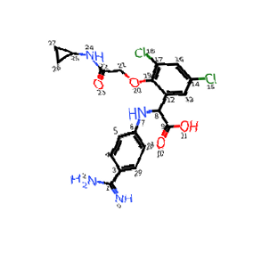 N=C(N)c1ccc(NC(C(=O)O)c2cc(Cl)cc(Cl)c2OCC(=O)NC2CC2)cc1